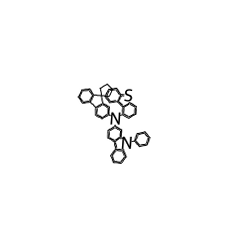 c1ccc(-n2c3ccccc3c3ccc(N(c4ccc5c(c4)C4(CCCC4)c4ccccc4-5)c4cccc5sc6ccccc6c45)cc32)cc1